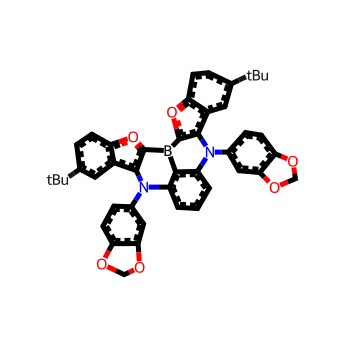 CC(C)(C)c1ccc2oc3c(c2c1)N(c1ccc2c(c1)OCO2)c1cccc2c1B3c1oc3ccc(C(C)(C)C)cc3c1N2c1ccc2c(c1)OCO2